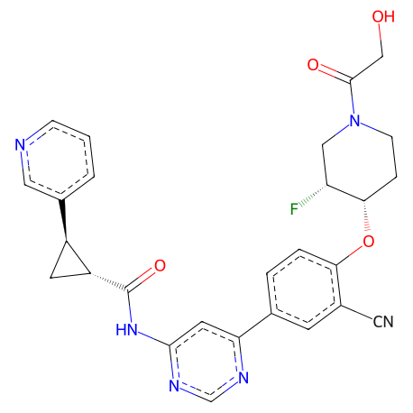 N#Cc1cc(-c2cc(NC(=O)[C@@H]3C[C@H]3c3cccnc3)ncn2)ccc1O[C@H]1CCN(C(=O)CO)C[C@H]1F